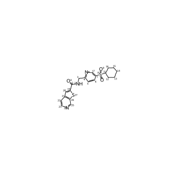 O=C(NCc1ccc(S(=O)(=O)C2CCCCC2)cn1)c1cc2ccncc2s1